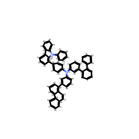 c1ccc(-c2ccccc2-c2cccc(N(c3ccc(-c4cccc5c6ccccc6n(-c6ccccc6)c45)cc3)c3cccc(-c4cccc5c4ccc4ccccc45)c3)c2)cc1